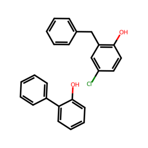 Oc1ccc(Cl)cc1Cc1ccccc1.Oc1ccccc1-c1ccccc1